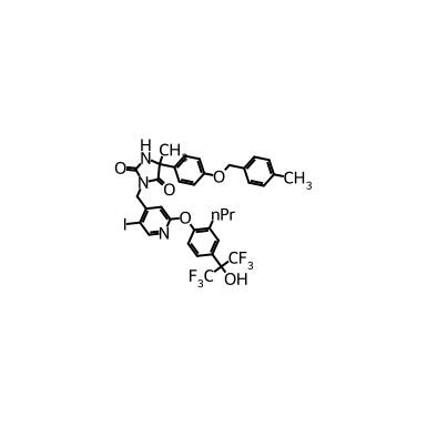 CCCc1cc(C(O)(C(F)(F)F)C(F)(F)F)ccc1Oc1cc(CN2C(=O)NC(C)(c3ccc(OCc4ccc(C)cc4)cc3)C2=O)c(I)cn1